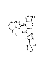 Cc1cccn2nc([C@H]3c4nc[nH]c4CCN3C(=O)c3nnc(-c4ncccc4F)o3)cc12